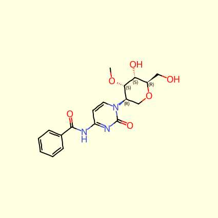 CO[C@@H]1[C@H](O)[C@@H](CO)OC[C@H]1n1ccc(NC(=O)c2ccccc2)nc1=O